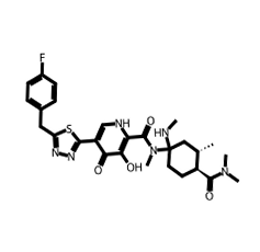 CNC1(N(C)C(=O)c2[nH]cc(-c3nnc(Cc4ccc(F)cc4)s3)c(=O)c2O)CC[C@H](C(=O)N(C)C)[C@@H](C)C1